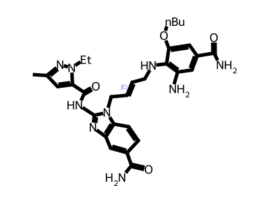 CCCCOc1cc(C(N)=O)cc(N)c1NC/C=C/Cn1c(NC(=O)c2cc(C)nn2CC)nc2cc(C(N)=O)ccc21